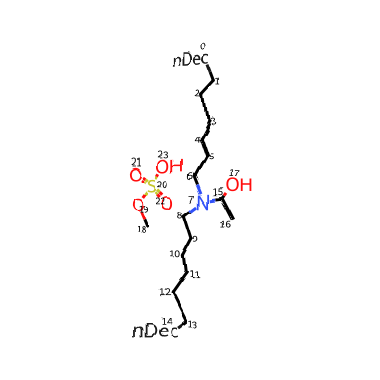 CCCCCCCCCCCCCCCCN(CCCCCCCCCCCCCCCC)C(C)O.COS(=O)(=O)O